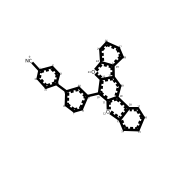 N#Cc1ccc(-c2cccc(-c3c4oc5ccccc5c4cc4c3oc3ccccc34)c2)cc1